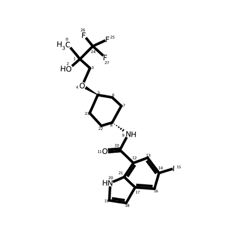 CC(O)(CO[C@H]1CC[C@H](NC(=O)c2cc(I)cc3cc[nH]c23)CC1)C(F)(F)F